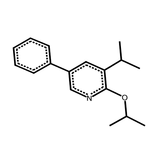 CC(C)Oc1ncc(-c2ccccc2)cc1C(C)C